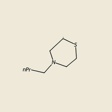 CCCCN1C[CH]SCC1